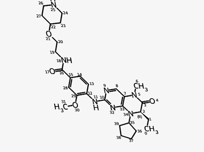 CC[C@@H]1C(=O)N(C)c2cnc(Nc3ccc(C(=O)NCCOC4CCNCC4)cc3OC)nc2N1C1CCCC1